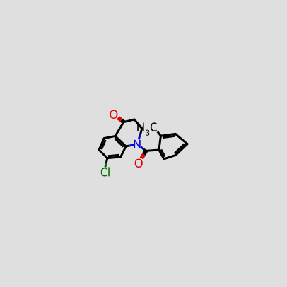 Cc1ccccc1C(=O)N1CCC(=O)c2ccc(Cl)cc21